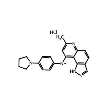 Cc1cc(Nc2ccc(N3CCCC3)cc2)c2c(ccc3cn[nH]c32)n1.Cl